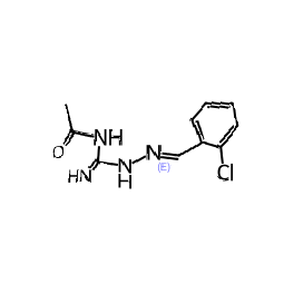 CC(=O)NC(=N)N/N=C/c1ccccc1Cl